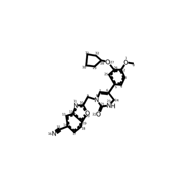 COc1ccc(C2=CN(Cc3nc4cc(C#N)ccc4o3)C(=O)NC2)cc1OC1CCCC1